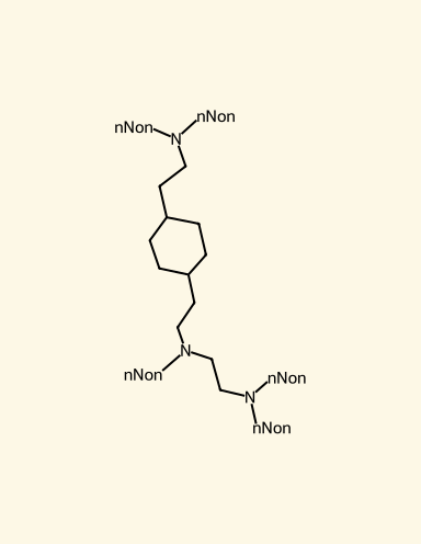 CCCCCCCCCN(CCCCCCCCC)CCC1CCC(CCN(CCCCCCCCC)CCN(CCCCCCCCC)CCCCCCCCC)CC1